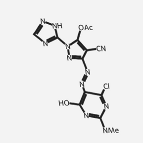 CNc1nc(O)c(N=Nc2nn(-c3ncn[nH]3)c(OC(C)=O)c2C#N)c(Cl)n1